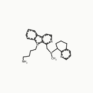 CN(Cc1nccc2c3ccccc3n(CCCCN)c12)C1CCCc2cccnc21